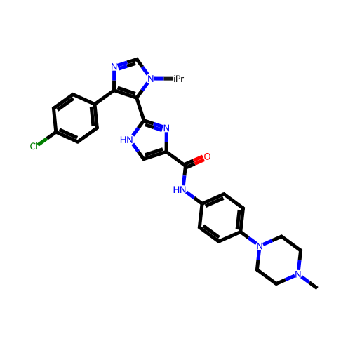 CC(C)n1cnc(-c2ccc(Cl)cc2)c1-c1nc(C(=O)Nc2ccc(N3CCN(C)CC3)cc2)c[nH]1